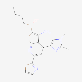 CCCC[S@+]([O-])c1sc2nc(-c3nccs3)cc(-c3cn(C)c(C)n3)c2c1N